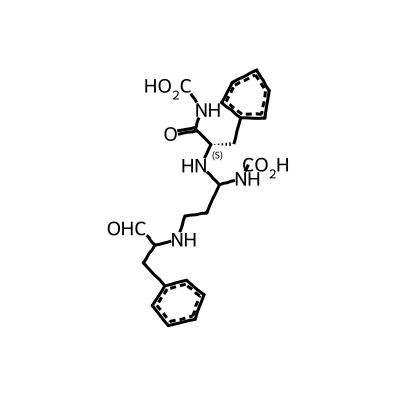 O=CC(Cc1ccccc1)NCCC(NC(=O)O)N[C@@H](Cc1ccccc1)C(=O)NC(=O)O